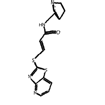 O=C(C=CSc1nc2ncccc2s1)NC1CN2CCC1CC2